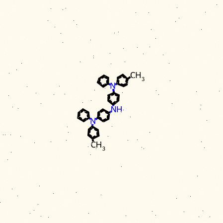 Cc1ccc(N(c2ccccc2)c2ccc(Nc3ccc(N(c4ccccc4)c4ccc(C)cc4)cc3)cc2)cc1